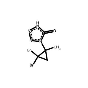 CC1(n2nn[nH]c2=O)CC1(Br)Br